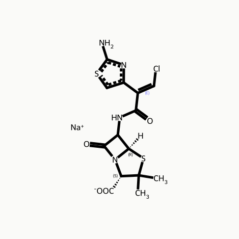 CC1(C)S[C@@H]2C(NC(=O)/C(=C/Cl)c3csc(N)n3)C(=O)N2[C@H]1C(=O)[O-].[Na+]